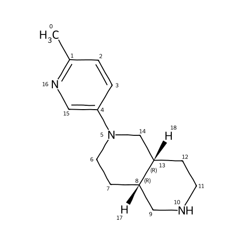 Cc1ccc(N2CC[C@H]3CNCC[C@H]3C2)cn1